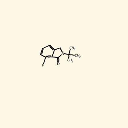 CC(C)(C)N1Cc2cccc(F)c2C1=O